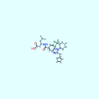 CC(C)CC(CC(=O)O)NC(=O)c1ccc2c(c1)nc(Cc1cccs1)n2[C@H]1CCCCC1C(F)(F)F